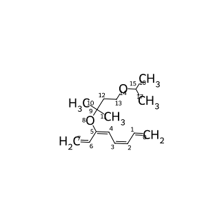 C=C/C=C\C=C(/C=C)OC(C)(C)CCOC(C)C